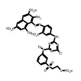 CCN(c1cccc(S(=O)(=O)CCOS(=O)(=O)O)c1)c1nc(Cl)nc(Nc2ccc(N=Nc3c(N)c(S(=O)(=O)O)cc4cc(S(=O)(=O)O)cc(O)c34)c(S(=O)(=O)O)c2)n1